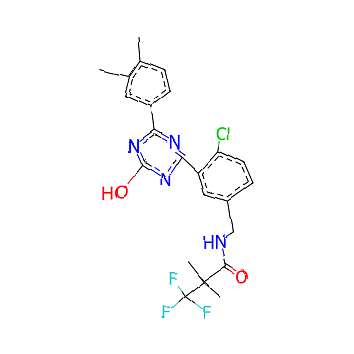 Cc1ccc(-c2nc(O)nc(-c3cc(CNC(=O)C(C)(C)C(F)(F)F)ccc3Cl)n2)cc1C